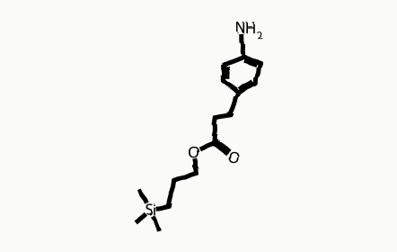 C[Si](C)(C)CCCOC(=O)CCc1ccc(N)cc1